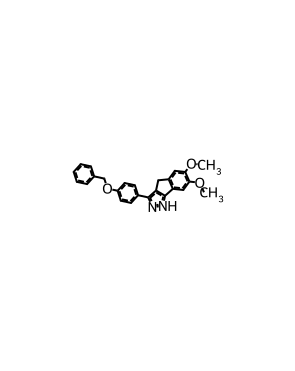 COc1cc2c(cc1OC)-c1[nH]nc(-c3ccc(OCc4ccccc4)cc3)c1C2